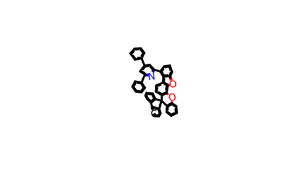 c1ccc(-c2cc(-c3ccccc3)nc(-c3cccc4oc5c6c(ccc5c34)C3(c4ccccc4O6)c4ccccc4-c4ccccc43)c2)cc1